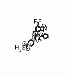 C[C@@]1(O)CCC[C@H]1c1noc2c(C(F)F)cc3cnc(NC4CCN(S(C)(=O)=O)CC4)nc3c12